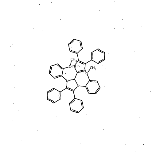 COc1ccccc1N1C(c2ccccc2)=C(c2ccccc2)N(c2ccccc2OC)C1c1nc(-c2ccccc2)c(-c2ccccc2)[nH]1